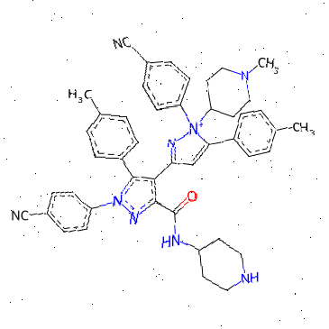 Cc1ccc(C2=CC(c3c(C(=O)NC4CCNCC4)nn(-c4ccc(C#N)cc4)c3-c3ccc(C)cc3)=N[N+]2(c2ccc(C#N)cc2)C2CCN(C)CC2)cc1